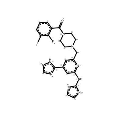 O=C(c1cccc(I)c1F)N1CCN(Cc2cc(-c3ncn[nH]3)cc(Nc3nccs3)n2)CC1